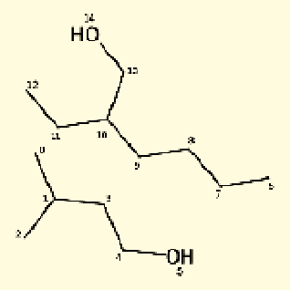 CC(C)CCO.CCCCC(CC)CO